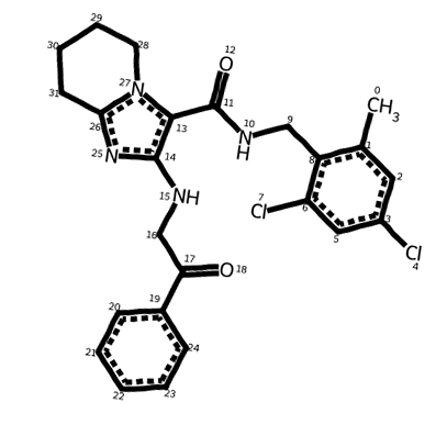 Cc1cc(Cl)cc(Cl)c1CNC(=O)c1c(NCC(=O)c2ccccc2)nc2n1CCCC2